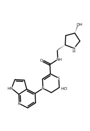 Cl.O=C(NC[C@@H]1C[C@H](O)CN1)C1=CN(c2ccnc3[nH]ccc23)CCS1